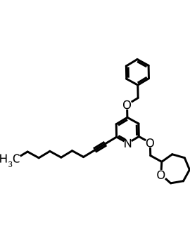 CCCCCCCC#Cc1cc(OCc2ccccc2)cc(OCC2CCCCCO2)n1